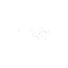 CCCC(C)B(N)OC(C)(CC)B(N)O